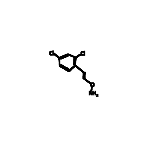 NOC=Cc1ccc(Cl)cc1Cl